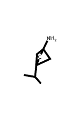 CC(C)C12CC(N)(C1)C2